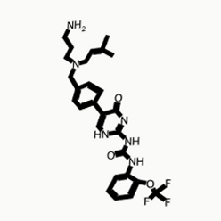 CC(C)=CCN(CCCN)Cc1ccc(-c2c[nH]c(NC(=O)Nc3ccccc3OC(F)(F)F)nc2=O)cc1